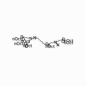 CCCCCCCCC(CCCCCCCC)OC(=O)CCCCCN(CCCCCC(=O)OC(CCCCCCCC)CCCCCCCCC1CCN(CCN(CCCCCC(=O)OC(CCCCCCCC)CCCCCCCC)CCCCCC(=O)OC(CCCCCCCC)CCCCCCCC)C1)CCN(C)C